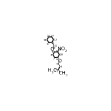 CC(C)=CCOc1ccc(OCc2ccccc2)c([N+](=O)[O-])c1